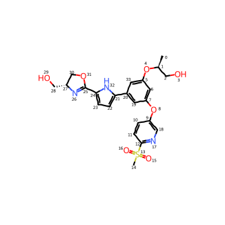 C[C@@H](CO)Oc1cc(Oc2ccc(S(C)(=O)=O)nc2)cc(-c2ccc(C3=N[C@H](CO)CO3)[nH]2)c1